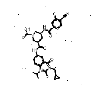 CC(C)n1c(=O)n(CC2CC2)c(=O)c2cc(NC(=O)[C@@H]3C[C@H](NC(=O)c4ccc(C#N)c(Cl)c4)CN(C(=O)O)C3)ccc21